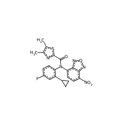 Cc1nc(C(=O)N(c2ccc(F)cc2C2CC2)c2ccc([N+](=O)[O-])c3nonc23)sc1C